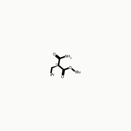 CC(C)C[C@@H](C(N)=O)C(=O)OC(C)(C)C